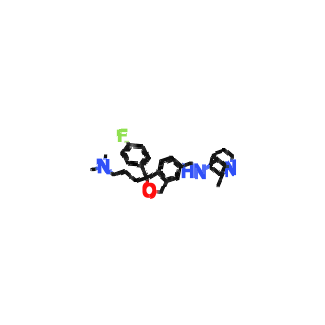 CC1C(NCc2ccc3c(c2)COC3(CCCN(C)C)c2ccc(F)cc2)C2CCN1CC2